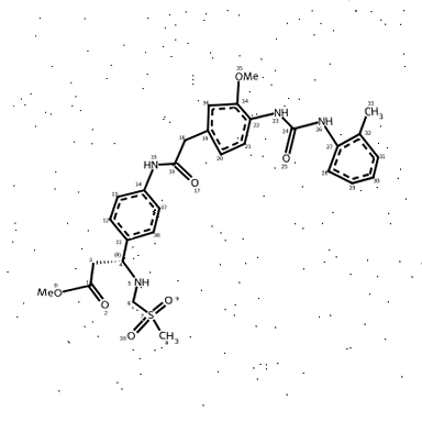 COC(=O)C[C@@H](NCS(C)(=O)=O)c1ccc(NC(=O)Cc2ccc(NC(=O)Nc3ccccc3C)c(OC)c2)cc1